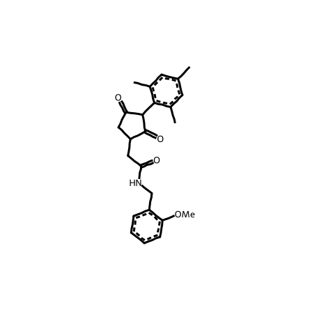 COc1ccccc1CNC(=O)CC1CC(=O)C(c2c(C)cc(C)cc2C)C1=O